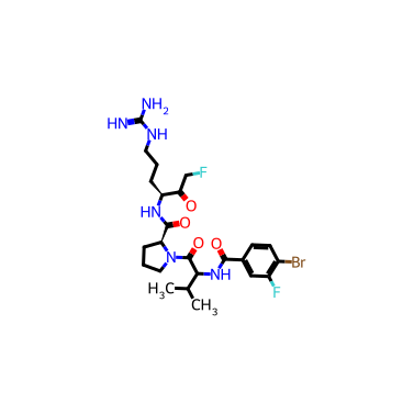 CC(C)C(NC(=O)c1ccc(Br)c(F)c1)C(=O)N1CCC[C@H]1C(=O)N[C@@H](CCCNC(=N)N)C(=O)CF